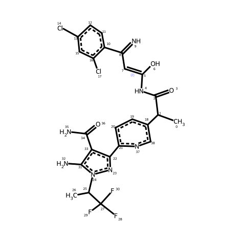 CC(C(=O)N/C(O)=C/C(=N)c1ccc(Cl)cc1Cl)c1ccc(-c2nn(C(C)C(F)(F)F)c(N)c2C(N)=O)nc1